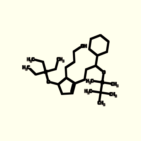 CC[Si](CC)(CC)OC1CC=C(CCC(O[Si](C)(C)C(C)(C)C)C2CCCCC2)C1CCCO